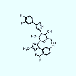 Cc1nc([C@@H]2O[C@H](CO)[C@H](O)[C@H](n3cc(-c4ccc(Br)c(F)c4)nn3)[C@H]2O)n(-c2cc(Cl)ccc2C(F)F)n1